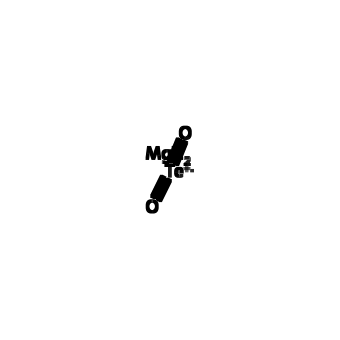 O=[Te+]=O.[MgH2]